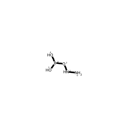 NNOB(O)O